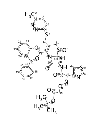 Cc1ccc(SCC2=C(C(=O)OC(c3ccccc3)c3ccccc3)N3C(=O)C(NC(=O)/C(=N\OCC(=O)OC(C)(C)C)c4cscn4)[C@H]3[S+]([O-])C2)nn1